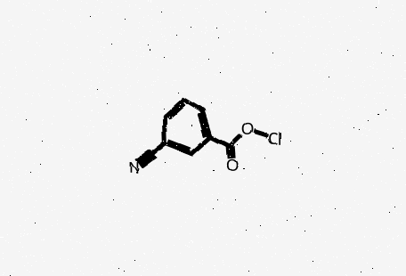 N#Cc1cccc(C(=O)OCl)c1